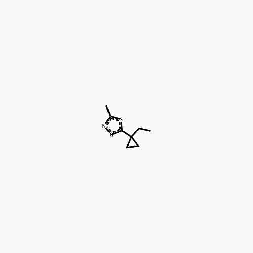 CCC1(c2nnc(C)s2)CC1